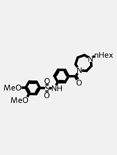 CCCCCCN1CCCN(C(=O)c2cccc(NS(=O)(=O)c3ccc(OC)c(OC)c3)c2)CC1